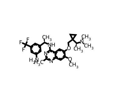 COc1cc2nc(C)nc(N[C@H](C)c3cc(N)cc(C(F)(F)F)c3)c2cc1OCC1([C@H](C)N(C)C)CC1